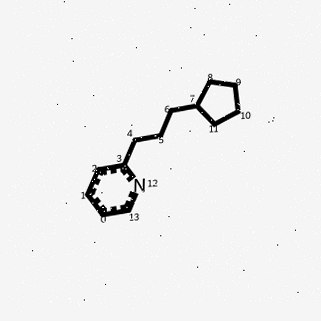 c1ccc(CCCC2CCCC2)nc1